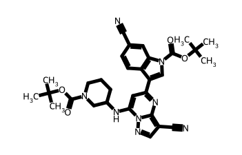 CC(C)(C)OC(=O)N1CCCC(Nc2cc(-c3cn(C(=O)OC(C)(C)C)c4cc(C#N)ccc34)nc3c(C#N)cnn23)C1